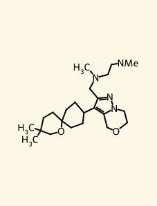 CNCCN(C)Cc1nn2c(c1C1CCC3(CC1)CCC(C)(C)CO3)COCC2